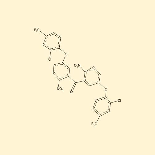 O=C(c1cc(Oc2ccc(C(F)(F)F)cc2Cl)ccc1[N+](=O)[O-])c1cc(Oc2ccc(C(F)(F)F)cc2Cl)ccc1[N+](=O)[O-]